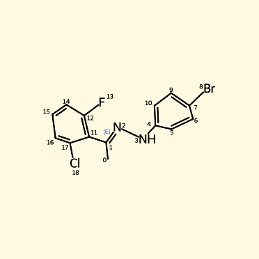 C/C(=N\Nc1ccc(Br)cc1)c1c(F)cccc1Cl